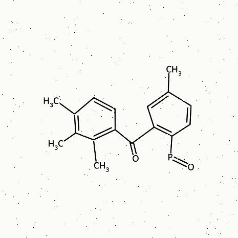 Cc1ccc(P=O)c(C(=O)c2ccc(C)c(C)c2C)c1